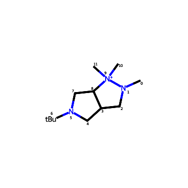 CN1CC2CN(C(C)(C)C)CC2[N+]1(C)C